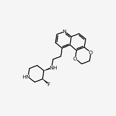 F[C@H]1CNCC[C@H]1NCCc1ccnc2ccc3c(c12)OCCO3